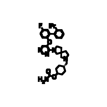 CC(C)c1ccccc1-c1cc(F)ccc1Oc1cncnc1N1CCC2(CCN(C[C@H]3CC[C@H](OC(N)=O)CC3)C2)C1